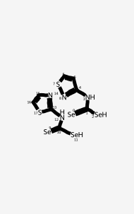 [Se]=C([SeH])Nc1ccsn1.[Se]=C([SeH])Nc1nccs1